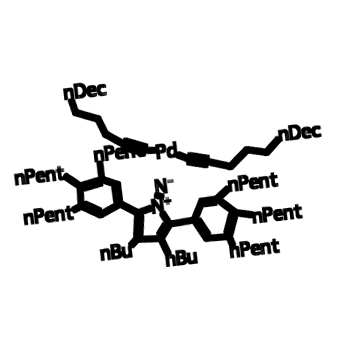 CCCCCCCCCCCCCC#[C][Pd][C]#CCCCCCCCCCCCCC.CCCCCc1cc(C2=C(CCCC)C(CCCC)=C(c3cc(CCCCC)c(CCCCC)c(CCCCC)c3)[N+]2=[N-])cc(CCCCC)c1CCCCC